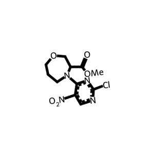 COC(=O)C1COCCCN1c1nc(Cl)ncc1[N+](=O)[O-]